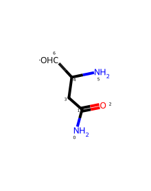 NC(=O)CC(N)[C]=O